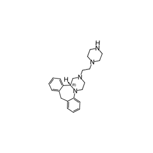 c1ccc2c(c1)Cc1ccccc1N1CCN(CCN3CCNCC3)C[C@@H]21